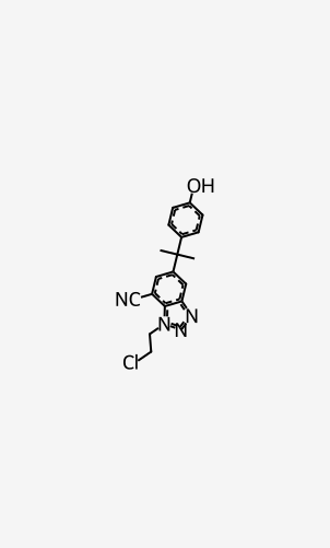 CC(C)(c1ccc(O)cc1)c1cc(C#N)c2c(c1)nnn2CCCl